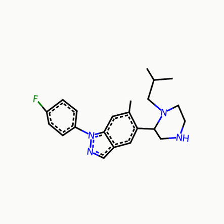 Cc1cc2c(cnn2-c2ccc(F)cc2)cc1C1CNCCN1CC(C)C